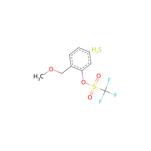 COCc1ccccc1OS(=O)(=O)C(F)(F)F.S